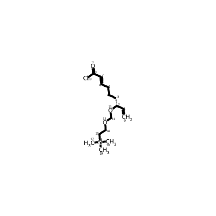 C=C[C@@H](CCC/C=C/C(=O)Cl)OCOCC[Si](C)(C)C